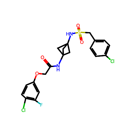 O=C(COc1ccc(Cl)c(F)c1)NC12CC(NS(=O)(=O)Cc3ccc(Cl)cc3)(C1)C2